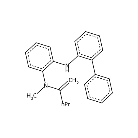 C=C(CCC)N(C)c1ccccc1Nc1ccccc1-c1ccccc1